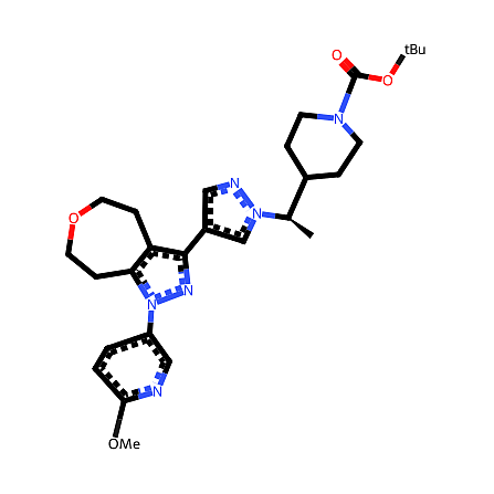 COc1ccc(-n2nc(-c3cnn([C@H](C)C4CCN(C(=O)OC(C)(C)C)CC4)c3)c3c2CCOCC3)cn1